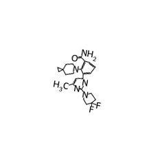 Cc1cc(-c2cccc(C(N)=O)c2N2CCC3(CC2)CC3)nc(N2CCC(F)(F)CC2)n1